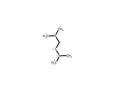 CN(C)CSN(C)C